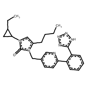 CCCCc1cn(C2CC2CC)c(=O)n1Cc1ccc(-c2ccccc2-c2nnn[nH]2)nc1